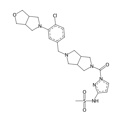 CS(=O)(=O)Nc1ccn(C(=O)N2CC3CN(Cc4ccc(Cl)c(N5CC6COCC6C5)c4)CC3C2)n1